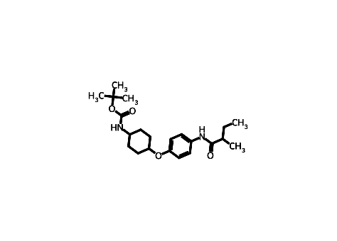 CCC(C)C(=O)Nc1ccc(OC2CCC(NC(=O)OC(C)(C)C)CC2)cc1